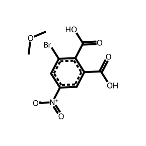 COC.O=C(O)c1cc([N+](=O)[O-])cc(Br)c1C(=O)O